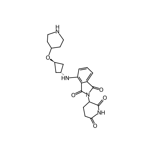 O=C1CCC(N2C(=O)c3cccc(N[C@H]4C[C@H](OC5CCNCC5)C4)c3C2=O)C(=O)N1